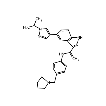 C=C(Nc1ccc(CN2CCCC2)cc1)c1n[nH]c2ccc(-c3cnn(C(C)C)c3)cc12